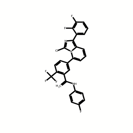 C=C(Nc1ccc(F)cc1)c1cc(-c2cccc3c(-c4cccc(F)c4F)nc(Cl)n23)ccc1C(F)(F)F